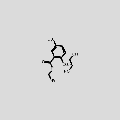 CC(C)(C)COC(=O)c1cc(C(=O)O)ccc1C(=O)O.OCCO